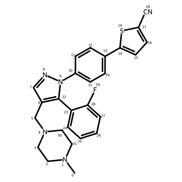 CN1CCN(Cc2cnn(-c3ccc(-c4ccc(C#N)s4)cc3)c2-c2ccccc2F)CC1